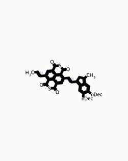 C/C=C/c1cc2c3c(c(/C=C/C4=c5cc(CCCCCCCCCC)c(CCCCCCCCCC)cc5=C(C)C4)cc4c3c1C(=O)SC4=O)C(=O)SC2=O